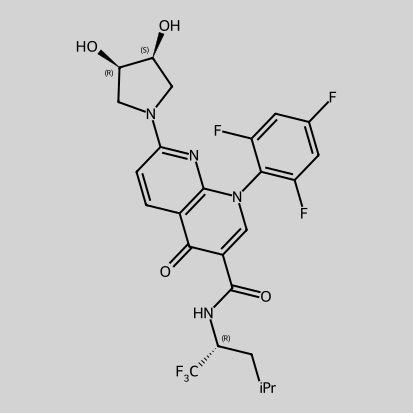 CC(C)C[C@@H](NC(=O)c1cn(-c2c(F)cc(F)cc2F)c2nc(N3C[C@@H](O)[C@@H](O)C3)ccc2c1=O)C(F)(F)F